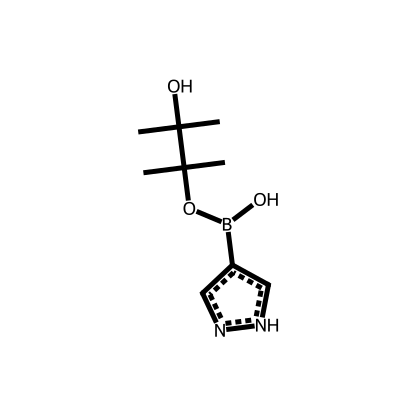 CC(C)(O)C(C)(C)OB(O)c1cn[nH]c1